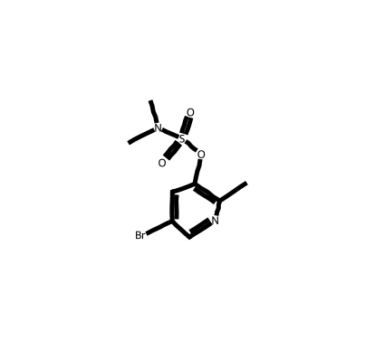 Cc1ncc(Br)cc1OS(=O)(=O)N(C)C